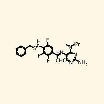 CC(C)N(C)c1nc(N)ncc1/N=C(\C=O)c1cc(F)c(NSCc2ccccc2)c(F)c1F